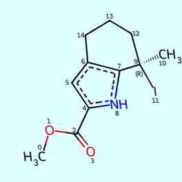 COC(=O)c1cc2c([nH]1)[C@](C)(I)CCC2